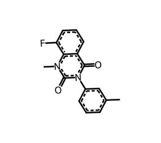 Cc1cccc(-n2c(=O)c3cccc(F)c3n(C)c2=O)c1